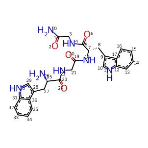 NC(=O)CNC(=O)[C@H](Cc1c[nH]c2ccccc12)NC(=O)CNC(=O)[C@H](N)Cc1c[nH]c2ccccc12